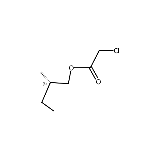 CC[C@H](C)COC(=O)CCl